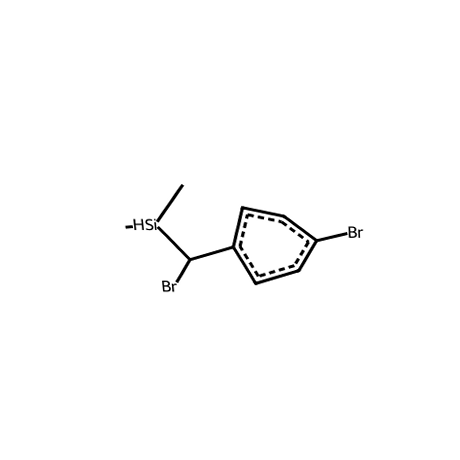 C[SiH](C)C(Br)c1ccc(Br)cc1